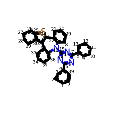 c1cccc(-c2nc(-c3ccccc3)nc(N3c4ccccc4-c4sc5ccccc5c4-c4ccccc43)n2)c#1